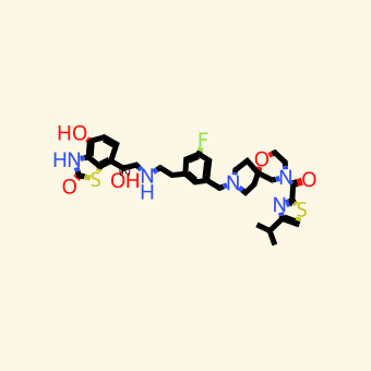 CC(C)c1csc(C(=O)N2CCOC3(CCN(Cc4cc(F)cc(CCNC[C@H](O)c5ccc(O)c6[nH]c(=O)sc56)c4)CC3)C2)n1